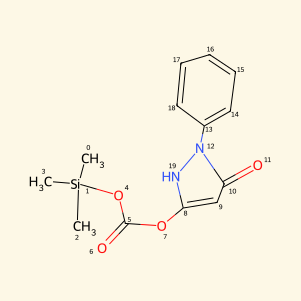 C[Si](C)(C)OC(=O)Oc1cc(=O)n(-c2ccccc2)[nH]1